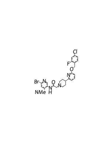 CNc1cc(Br)ncc1NC(=O)CN1CCC(c2cccc(OCc3ccc(Cl)cc3F)n2)CC1